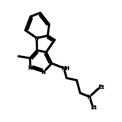 CCN(CC)CCCNc1nnc(C)c2c1cc1ccccn12